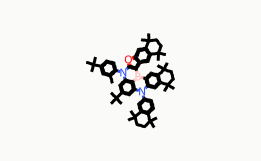 Cc1cc(C(C)(C)C)ccc1N1c2cc(C(C)(C)C)cc3c2B(c2cc4c(cc2N3c2ccc3c(c2)C(C)(C)CCC3(C)C)C(C)(C)CCC4(C)C)c2c1oc1cc3c(cc21)C(C)(C)CCC3(C)C